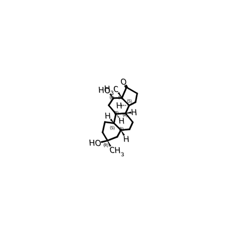 C[C@@]1(O)CC[C@H]2[C@H](CC[C@@H]3[C@@H]2C[C@@H](O)[C@]2(C)C(=O)CC[C@@H]32)C1